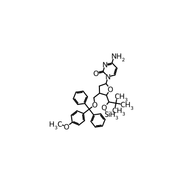 COc1ccc(C(OCC2CC(n3ccc(N)nc3=O)OC2C(O[SiH3])C(C)(C)C)(c2ccccc2)c2ccccc2)cc1